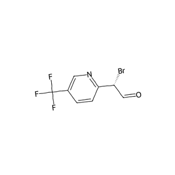 O=C[C@@H](Br)c1ccc(C(F)(F)F)cn1